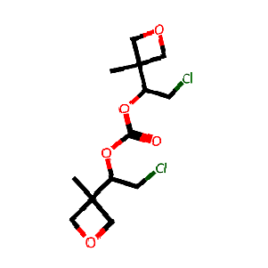 CC1(C(CCl)OC(=O)OC(CCl)C2(C)COC2)COC1